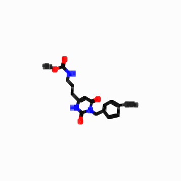 COc1ccc(Cn2c(=O)cc(CCCNC(=O)OC(C)(C)C)[nH]c2=O)cc1